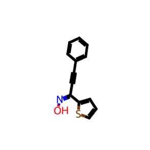 O/N=C(/C#Cc1ccccc1)c1cccs1